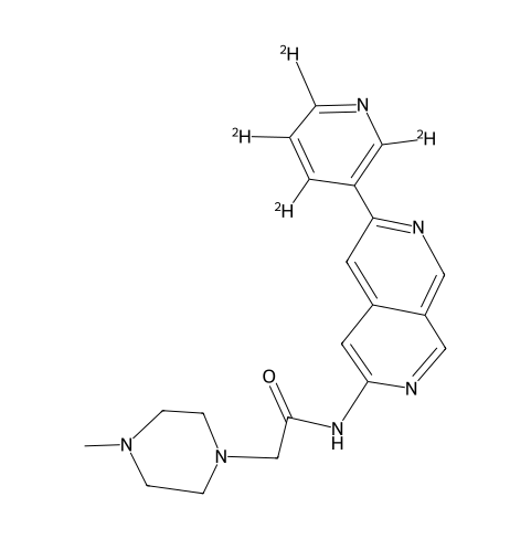 [2H]c1nc([2H])c(-c2cc3cc(NC(=O)CN4CCN(C)CC4)ncc3cn2)c([2H])c1[2H]